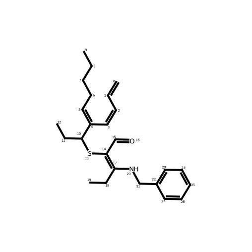 C=C/C=C\C(=C/CCCC)C(CC)S/C(C=O)=C(\CC)NCc1ccccc1